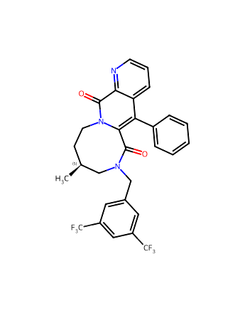 C[C@H]1CCn2c(c(-c3ccccc3)c3cccnc3c2=O)C(=O)N(Cc2cc(C(F)(F)F)cc(C(F)(F)F)c2)C1